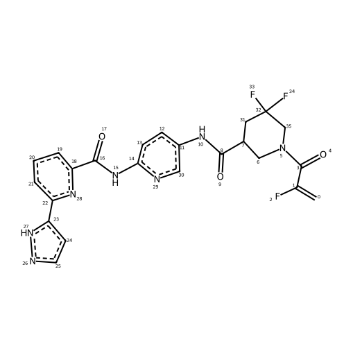 C=C(F)C(=O)N1CC(C(=O)Nc2ccc(NC(=O)c3cccc(-c4ccn[nH]4)n3)nc2)CC(F)(F)C1